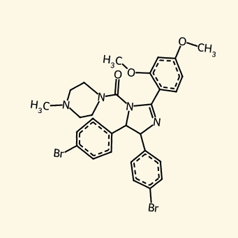 COc1ccc(C2=NC(c3ccc(Br)cc3)C(c3ccc(Br)cc3)N2C(=O)N2CCN(C)CC2)c(OC)c1